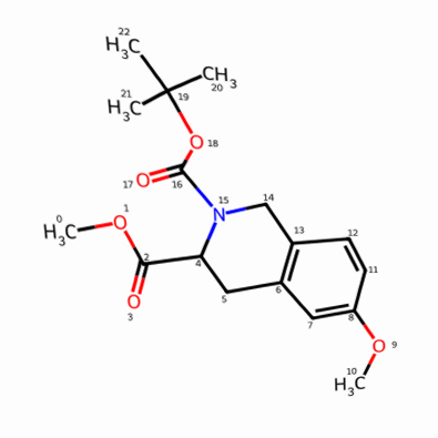 COC(=O)C1Cc2cc(OC)ccc2CN1C(=O)OC(C)(C)C